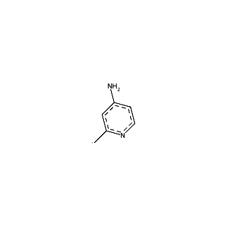 [CH2]c1cc(N)ccn1